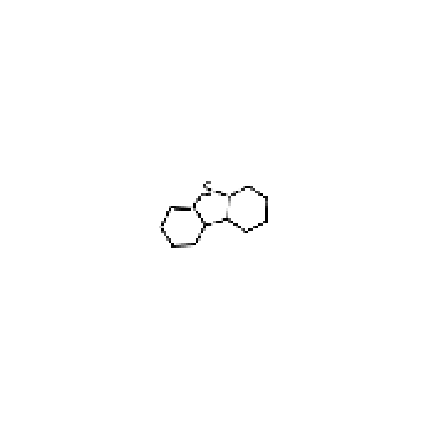 C1=C2SC3CCCCC3C2CCC1